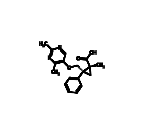 Cc1ncc(OC[C@@]2(c3ccccc3)C[C@@]2(C)C(=O)O)c(C)n1